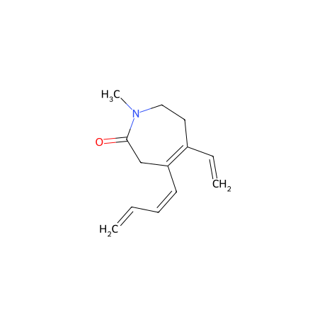 C=C/C=C\C1=C(C=C)CCN(C)C(=O)C1